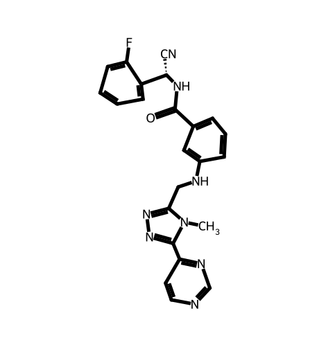 Cn1c(CNc2cccc(C(=O)N[C@@H](C#N)c3ccccc3F)c2)nnc1-c1ccncn1